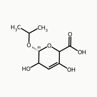 CC(C)O[C@@H]1OC(C(=O)O)C(O)=CC1O